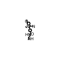 CCn1c(-c2ccc(C(=O)NCCNC)cc2)c(C#N)c2ccc(OC)cc21